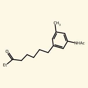 CCC(=O)CCCCCc1cc(C)cc(NC(C)=O)c1